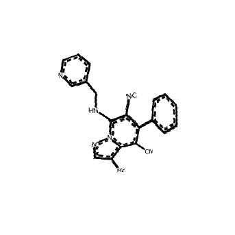 [C-]#[N+]c1c(-c2ccccc2)c(C#N)c2c(Br)cnn2c1NCc1cccnc1